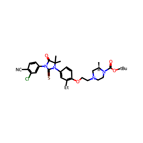 CCc1cc(N2C(=S)N(c3ccc(C#N)c(Cl)c3)C(=O)C2(C)C)ccc1OCCN1CCN(C(=O)OC(C)(C)C)[C@H](C)C1